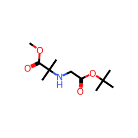 COC(=O)C(C)(C)NCC(=O)OC(C)(C)C